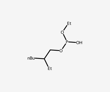 CCCCC(CC)COP(O)OCC